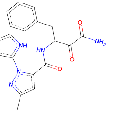 Cc1cc(C(=O)NC(Cc2ccccc2)C(=O)C(N)=O)n(-c2ccc[nH]2)n1